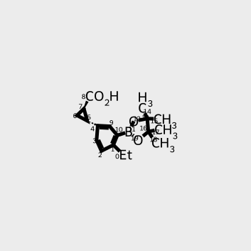 CCc1ccc([C@@H]2C[C@H]2C(=O)O)cc1B1OC(C)(C)C(C)(C)O1